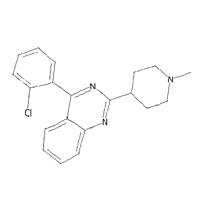 CN1CCC(c2nc(-c3ccccc3Cl)c3ccccc3n2)CC1